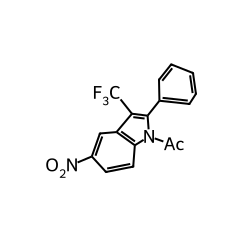 CC(=O)n1c(-c2ccccc2)c(C(F)(F)F)c2cc([N+](=O)[O-])ccc21